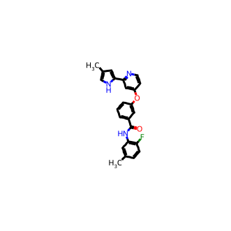 Cc1c[nH]c(-c2cc(Oc3cccc(C(=O)Nc4cc(C)ccc4F)c3)ccn2)c1